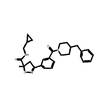 CC1(C(=O)NCC2CC2)CC(c2cccc(C(=O)N3CCC(Cc4ccccc4)CC3)c2)=NO1